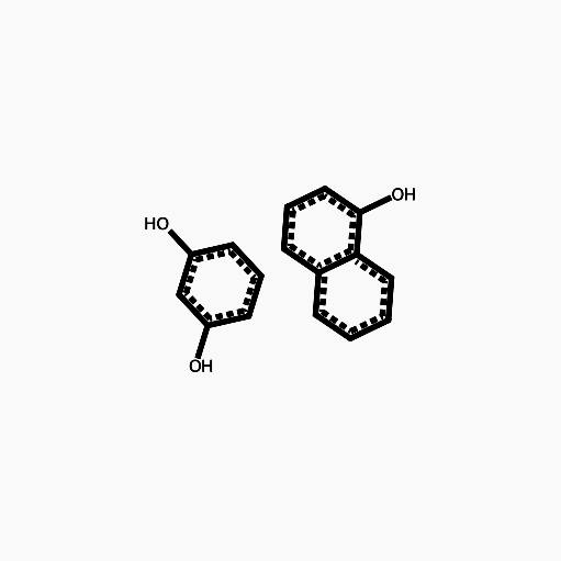 Oc1cccc(O)c1.Oc1cccc2ccccc12